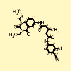 CCn1c(=O)c2cc(NC(=O)CC(C)CC(=O)Nc3ccc(C#N)c(Cl)c3)ccc2n(CSC)c1=O